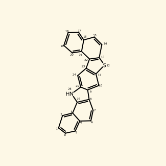 c1ccc2c(c1)ccc1c3cc4sc5ccc6ccccc6c5c4cc3[nH]c21